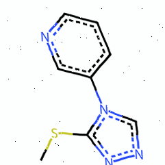 CSc1nncn1-c1cccnc1